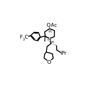 CC(=O)O[C@@H]1CCN([C@H](CCC(C)C)CC2CCOCC2)[C@](C)(c2ccc(C(F)(F)F)cc2)C1